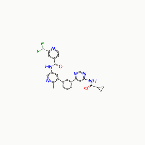 Cc1ncc(NC(=O)c2ccnc(C(F)F)c2)cc1-c1cccc(-c2cc(NC(=O)C3CC3)ncn2)c1